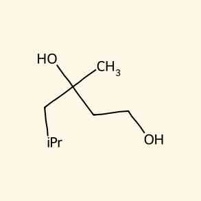 CC(C)CC(C)(O)CCO